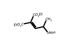 CCCCCCCCCC(C)C=C(C(=O)OCC)C(=O)OCC